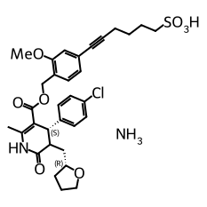 COc1cc(C#CCCCCS(=O)(=O)O)ccc1COC(=O)C1=C(C)NC(=O)C(C[C@H]2CCCO2)[C@H]1c1ccc(Cl)cc1.N